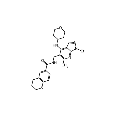 CCn1ncc2c(NC3CCOCC3)c(CNC(=O)c3ccc4c(c3)CCCS4)c(C)nc21